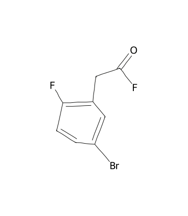 O=C(F)Cc1cc(Br)ccc1F